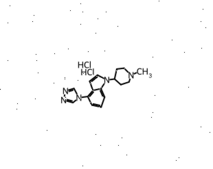 CN1CCC(n2ccc3c(-n4cnnc4)cccc32)CC1.Cl.Cl